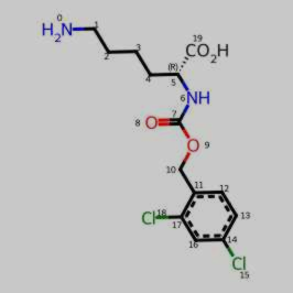 NCCCC[C@@H](NC(=O)OCc1ccc(Cl)cc1Cl)C(=O)O